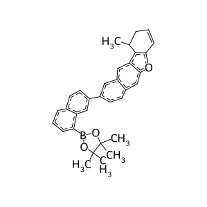 CC1CC=Cc2oc3cc4ccc(-c5ccc6cccc(B7OC(C)(C)C(C)(C)O7)c6c5)cc4cc3c21